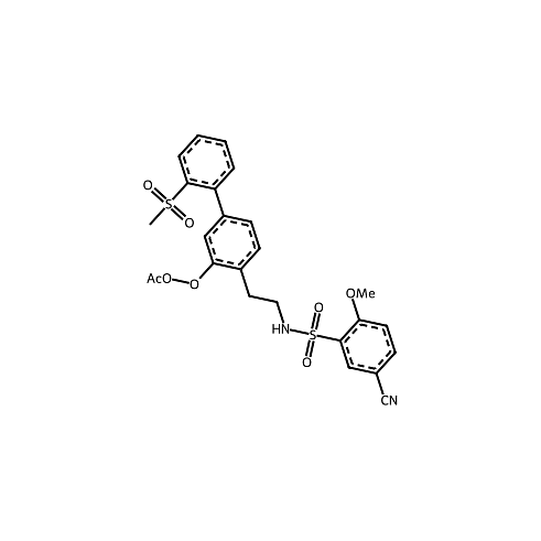 COc1ccc(C#N)cc1S(=O)(=O)NCCc1ccc(-c2ccccc2S(C)(=O)=O)cc1OOC(C)=O